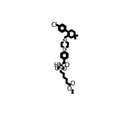 CCOC(=O)CCCCCS(=O)(=O)NC(=O)c1ccc(N2CCN(CC3=C(c4ccc(Cl)cc4)CCC(C)(C)C3)CC2)cc1